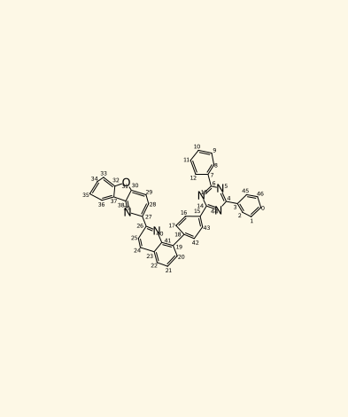 c1ccc(-c2nc(-c3ccccc3)nc(-c3ccc(-c4cccc5ccc(-c6ccc7oc8ccccc8c7n6)nc45)cc3)n2)cc1